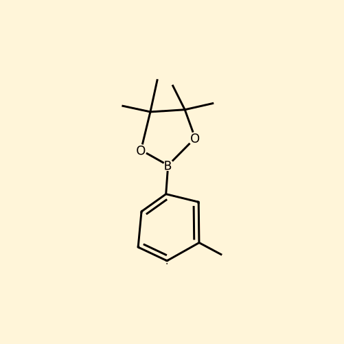 Cc1[c]ccc(B2OC(C)(C)C(C)(C)O2)c1